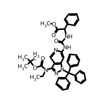 CCN(C(=O)OC(C)(C)C)c1nn(C(c2ccccc2)(c2ccccc2)c2ccccc2)c2cc(NC(=O)NC(C(=O)OC)c3ccccc3)ncc12